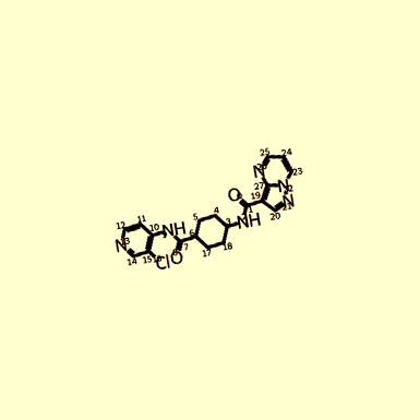 O=C(NC1CCC(C(=O)Nc2ccncc2Cl)CC1)c1cnn2cccnc12